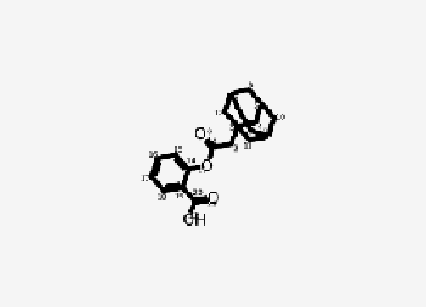 O=C(CC12CC3CC(CC(C3)C1)C2)Oc1ccccc1C(=O)O